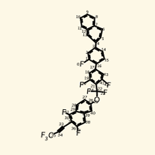 Fc1cc(-c2ccc3ccccc3c2)ccc1-c1cc(F)c(C(F)(F)Oc2ccc3c(F)c(C#CC(F)(F)F)c(F)cc3c2)c(F)c1